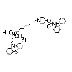 C[N+](C)(CCCCCCCCCN1CCC(OC(=O)Nc2ccccc2-c2ccccc2)CC1)CCCN1c2ccccc2Sc2ccc(Cl)cc21